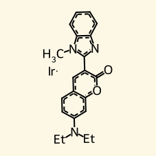 CCN(CC)c1ccc2cc(-c3nc4ccccc4n3C)c(=O)oc2c1.[Ir]